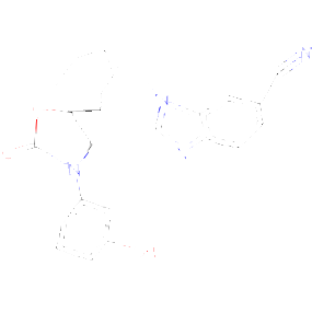 N#Cc1ccc2ncn(C[C@H]3CCC[C@]4(C3)CN(c3cccc(O)c3)C(=O)O4)c2c1